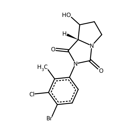 Cc1c(N2C(=O)[C@@H]3C(O)CCN3C2=O)ccc(Br)c1Cl